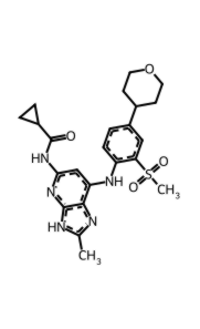 Cc1nc2c(Nc3ccc(C4CCOCC4)cc3S(C)(=O)=O)cc(NC(=O)C3CC3)nc2[nH]1